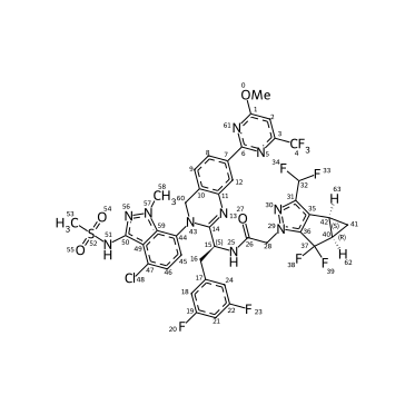 COc1cc(C(F)(F)F)nc(-c2ccc3c(c2)N=C([C@H](Cc2cc(F)cc(F)c2)NC(=O)Cn2nc(C(F)F)c4c2C(F)(F)[C@@H]2C[C@H]42)N(c2ccc(Cl)c4c(NS(C)(=O)=O)nn(C)c24)C3)n1